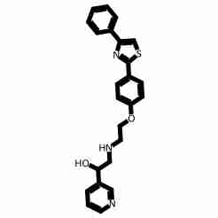 OC(CNCCOc1ccc(-c2nc(-c3ccccc3)cs2)cc1)c1cccnc1